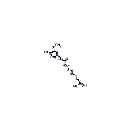 COc1cc(/C=C/C(=O)OCCCCCCON(O)O)ccc1O